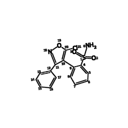 NS(=O)(=O)c1ccccc1-c1c(-c2ccccc2)noc1Cl